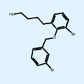 SCCCCc1cccc(Br)c1OCc1cccc(Br)c1